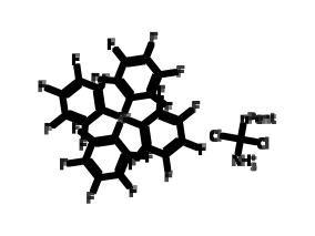 CCCCCC([NH3+])(Cl)Cl.Fc1c(F)c(F)c([B-](c2c(F)c(F)c(F)c(F)c2F)(c2c(F)c(F)c(F)c(F)c2F)c2c(F)c(F)c(F)c(F)c2F)c(F)c1F